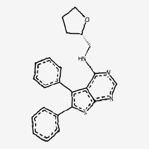 c1ccc(-c2sc3ncnc(NC[C@@H]4CCCO4)c3c2-c2ccccc2)cc1